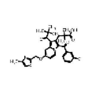 Cc1csc(COc2ccn3c(C(=O)c4cccc(Cl)c4)c(CC(C)(C)C(=O)O)c(C(=O)C(C)(C)C)c3c2)n1